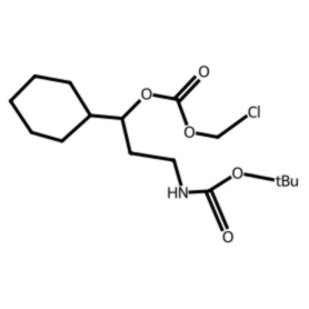 CC(C)(C)OC(=O)NCCC(OC(=O)OCCl)C1CCCCC1